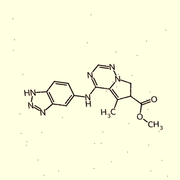 COC(=O)C1CN2N=CN=C(Nc3ccc4[nH]nnc4c3)C2=C1C